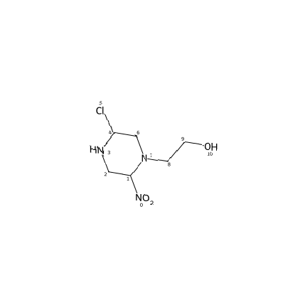 O=[N+]([O-])C1CNC(Cl)CN1CCO